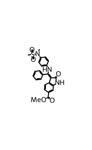 COC(=O)c1ccc2c(c1)NC(=O)/C2=C(\Nc1ccc(N(C)S(C)(=O)=O)cc1)c1ccccc1